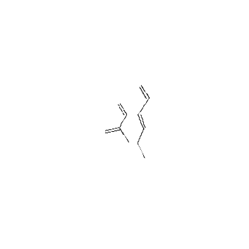 C=CC(=C)C.C=CC=CCC